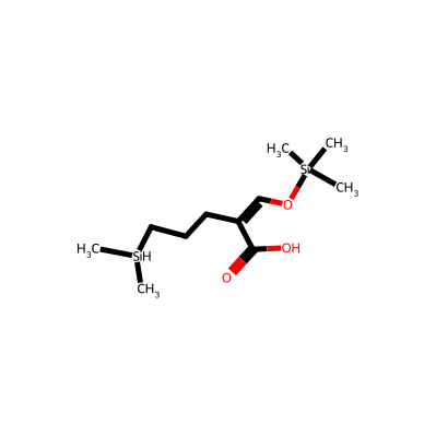 C[SiH](C)CCCC(=CO[Si](C)(C)C)C(=O)O